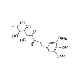 COc1cc(/C=C/C(=O)C(=O)[C@H](O)[C@H](O)[C@@H](O)[C@H](C)O)cc(OC)c1O